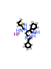 I.N=C(NC(Cc1nc(-c2ccccc2)c[nH]1)c1c[nH]c2ccccc12)c1cccs1